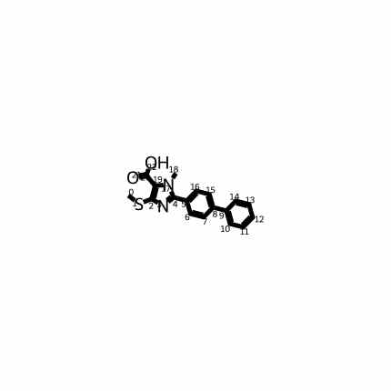 CSc1nc(-c2ccc(-c3ccccc3)cc2)n(C)c1C(=O)O